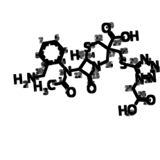 CC(=O)N(c1ccccc1CN)C1C(=O)N2CC(CSc3nnnn3CC(=O)O)(C(=O)O)CS[C@H]12